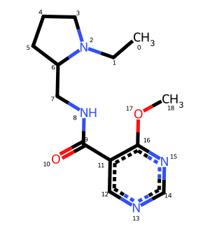 CCN1CCCC1CNC(=O)c1cncnc1OC